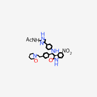 CC(=O)Nc1nc(-c2ccc(NC(=C3C(=O)Nc4ccc([N+](=O)[O-])cc43)c3ccc(CCN4CCCCC4=O)cc3)cc2)c[nH]1